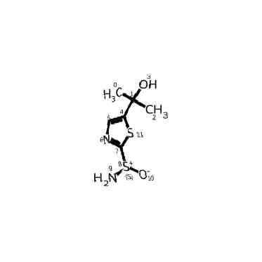 CC(C)(O)c1cnc([S@+](N)[O-])s1